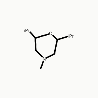 CC(C)C1CN(C)CC(C(C)C)O1